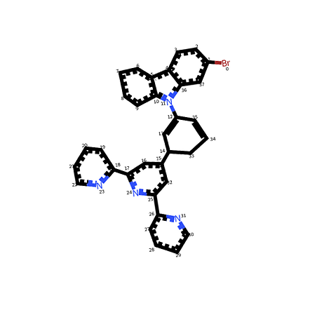 Brc1ccc2c3ccccc3n(C3=CC(c4cc(-c5ccccn5)nc(-c5ccccn5)c4)CC=C3)c2c1